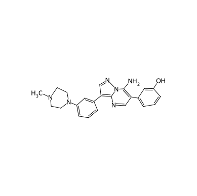 CN1CCN(c2cccc(-c3cnn4c(N)c(-c5cccc(O)c5)cnc34)c2)CC1